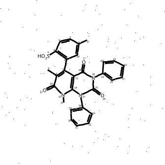 Cc1ccc(S(=O)(=O)O)c(-c2c(C)c(=O)n(C)c3c2c(=O)n(-c2ccccc2)c(=O)n3-c2ccccc2)c1